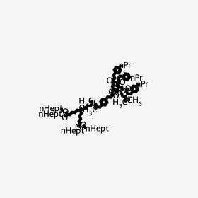 CCCCCCCC(CCCCCCC)OC(=O)CCCCC(CCCCC(=O)OC(CCCCCCC)CCCCCCC)OCCCN(C)CC(C)Cc1ccc(CCC(=O)OC(COC(=O)CCc2ccc(CCC)cc2)C(OCCCN(C)C)C(COC(=O)CCc2ccc(CCC)cc2)OC(=O)CCc2ccc(CCC)cc2)cc1